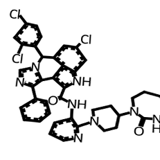 O=C(Nc1cccnc1N1CCC(N2CCCCNC2=O)CC1)c1[nH]c2cc(Cl)cc3c2c1-c1c(-c2ccccc2)ncn1C3c1ccc(Cl)cc1Cl